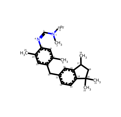 CCCN(C)/C=N\c1cc(C)c(Cc2ccc3c(c2)C(C)CC3(C)C)cc1C